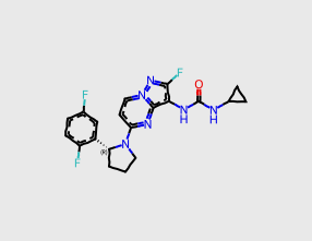 O=C(Nc1c(F)nn2ccc(N3CCC[C@@H]3c3cc(F)ccc3F)nc12)NC1CC1